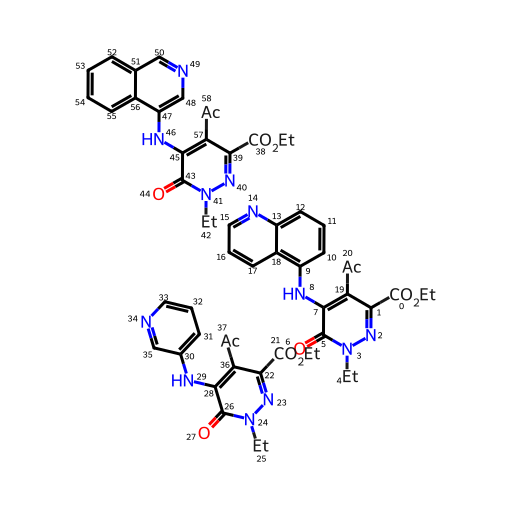 CCOC(=O)c1nn(CC)c(=O)c(Nc2cccc3ncccc23)c1C(C)=O.CCOC(=O)c1nn(CC)c(=O)c(Nc2cccnc2)c1C(C)=O.CCOC(=O)c1nn(CC)c(=O)c(Nc2cncc3ccccc23)c1C(C)=O